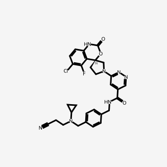 N#CCCN(Cc1ccc(CNC(=O)c2cnnc(N3CC[C@]4(C3)OC(=O)Nc3ccc(Cl)c(F)c34)c2)cc1)C1CC1